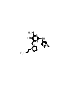 Cn1cc(Nc2nc(N)c(Cl)c(C[C@H]3CCCN3CCC(F)(F)F)n2)cn1